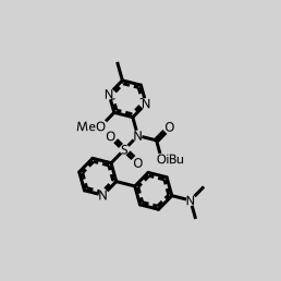 COc1nc(C)cnc1N(C(=O)OCC(C)C)S(=O)(=O)c1cccnc1-c1ccc(N(C)C)cc1